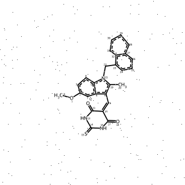 COc1ccc2c(c1)c(C=C1C(=O)NC(=S)NC1=O)c(C)n2Cc1cccc2ccccc12